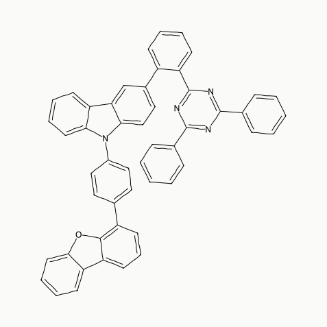 c1ccc(-c2nc(-c3ccccc3)nc(-c3ccccc3-c3ccc4c(c3)c3ccccc3n4-c3ccc(-c4cccc5c4oc4ccccc45)cc3)n2)cc1